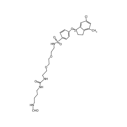 Cc1cc(Cl)cc2c1CC[C@H]2Oc1ccc(S(=O)(=O)NCCOCCOCCNC(=O)NCCCCNC=O)cc1